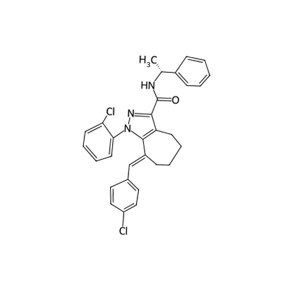 C[C@@H](NC(=O)c1nn(-c2ccccc2Cl)c2c1CCCC/C2=C\c1ccc(Cl)cc1)c1ccccc1